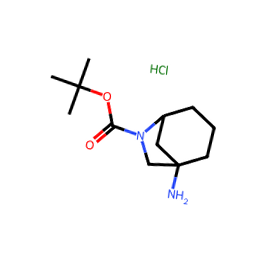 CC(C)(C)OC(=O)N1CC2(N)CCCC1C2.Cl